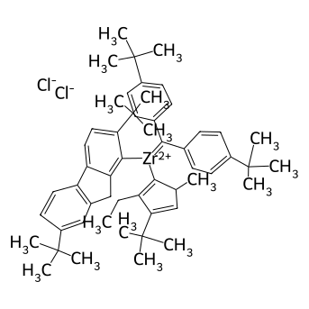 CCC1=[C]([Zr+2](=[C](c2ccc(C(C)(C)C)cc2)c2ccc(C(C)(C)C)cc2)[c]2c(C(C)(C)C)ccc3c2Cc2cc(C(C)(C)C)ccc2-3)C(C)C=C1C(C)(C)C.[Cl-].[Cl-]